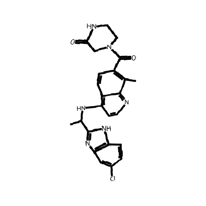 Cc1c(C(=O)N2CCNC(=O)C2)ccc2c(NC(C)c3nc4cc(Cl)ccc4[nH]3)ccnc12